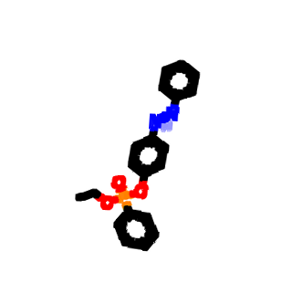 CCOP(=O)(Oc1ccc(/N=N/c2ccccc2)cc1)c1ccccc1